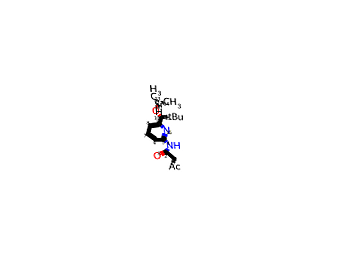 CC(=O)CC(=O)Nc1cccc(C(O[SiH](C)C)C(C)(C)C)n1